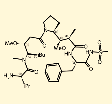 CC[C@H](C)[C@@H]([C@@H](CC(=O)N1CCC[C@H]1[C@H](OC)[C@@H](C)C(=O)N[C@@H](Cc1ccccc1)C(=O)NS(C)(=O)=O)OC)N(C)C(=O)[C@@H](N)C(C)C